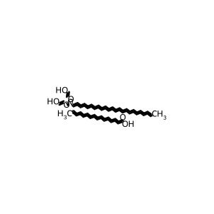 CCCCCCCCCCCCCCCC(=O)O.CCCCCCCCCCCCCCCCCCCCCCCCN(OCCO)OCCO